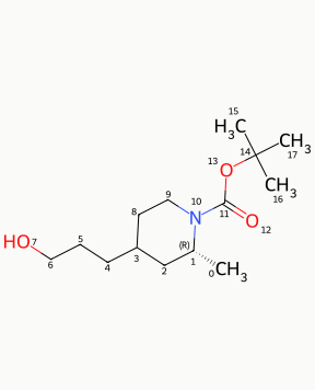 C[C@@H]1CC(CCCO)CCN1C(=O)OC(C)(C)C